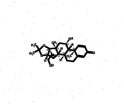 CC1(C)O[C@H]2C[C@H]3[C@@H]4CCC5=CC(=O)C=C[C@]5(C)[C@H]4[C@@H](O)C[C@]3(C)[C@]2(C(=O)CO)O1